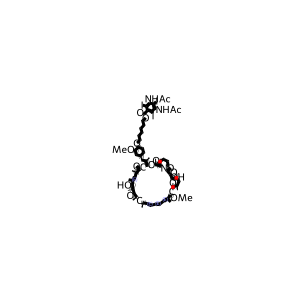 CO[C@H]1C[C@@H]2CC[C@@H](C)[C@@](O)(O2)C(=O)C(=O)N2CCCC[C@H]2C(=O)O[C@H]([C@H](C)C[C@@H]2CC[C@@H](OCCCCCCOC(=O)c3c(I)c(NC(C)=O)c(I)c(NC(C)=O)c3I)[C@H](OC)C2)CC(=O)[C@H](C)/C=C(\C)[C@@H](O)[C@@H](C)C(=O)[C@H](C)C[C@H](C)/C=C/C=C/C=C/1C